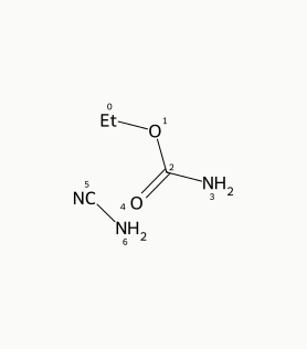 CCOC(N)=O.N#CN